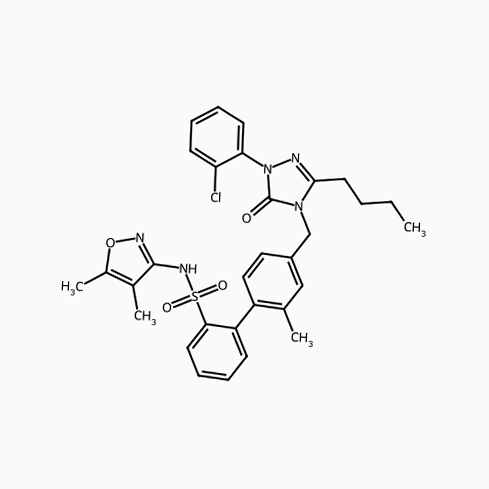 CCCCc1nn(-c2ccccc2Cl)c(=O)n1Cc1ccc(-c2ccccc2S(=O)(=O)Nc2noc(C)c2C)c(C)c1